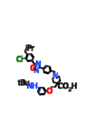 CC(C)(C)N.CC(C)Cc1ccc(-c2nc(-c3ccc(CN4CCC(CCOc5ccccc5)(C(=O)O)CC4)cc3)no2)cc1Cl